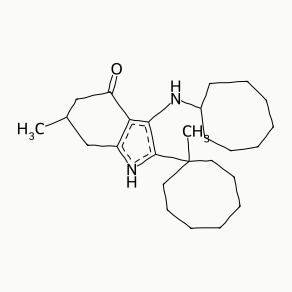 CC1CC(=O)c2c([nH]c(C3(C)CCCCCCC3)c2NC2CCCCCCC2)C1